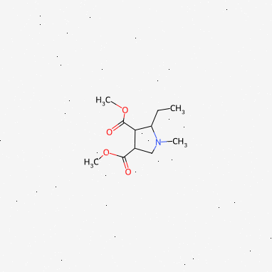 CCC1C(C(=O)OC)C(C(=O)OC)CN1C